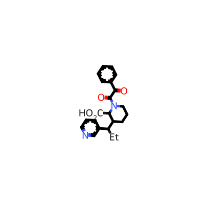 CCC(c1cccnc1)C1CCCN(C(=O)C(=O)c2ccccc2)C1C(=O)O